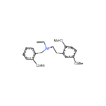 C=CN(CCc1cc(OC)ccc1OC)Cc1ccccc1OC